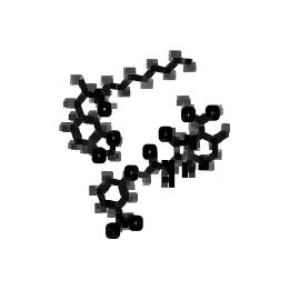 C=C1CS[C@@H]2C(NC(=O)COc3cccc([N+](=O)[O-])c3)C(=O)N2C1C(=O)OC.CCCCCCCC[S+]([O-])C(C)Cc1ccc2c(c1)OCO2